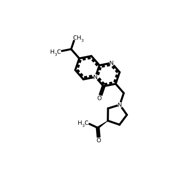 CC(=O)[C@@H]1CCN(Cc2cnc3cc(C(C)C)ccn3c2=O)C1